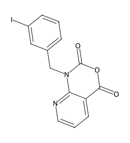 O=c1oc(=O)n(Cc2cccc(I)c2)c2ncccc12